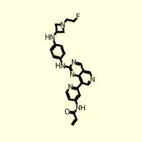 C=CC(=O)Nc1ccnc(-c2cncc3cnc(Nc4ccc(NC5CN(CCF)C5)cc4)nc23)c1